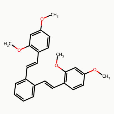 COc1ccc(/C=C/c2ccccc2/C=C/c2ccc(OC)cc2OC)c(OC)c1